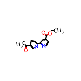 CCOC(=O)c1ccnc(-c2ccc(C(C)=O)cn2)c1